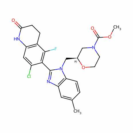 COC(=O)N1CCO[C@@H](Cn2c(-c3c(Cl)cc4c(c3F)CCC(=O)N4)nc3cc(C)ccc32)C1